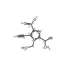 CCn1c(C(C)Br)nc([N+](=O)[O-])c1C#N